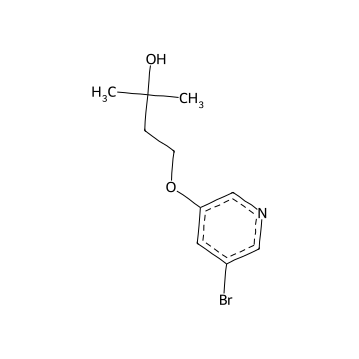 CC(C)(O)CCOc1cncc(Br)c1